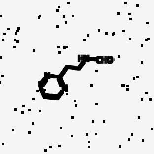 O=[C]NCCc1ncccn1